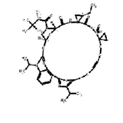 CC[C@@H]1C[C@@]12NC(=O)[C@@H]1C[C@H](CN1C(=O)[C@@H](C)C(C)(C)C)Oc1nc3c(cccc3n1C(C)C)-c1nc(C(C)C)c(s1)CCC=CCCC1(CC1)S(=O)(=O)NC2=O